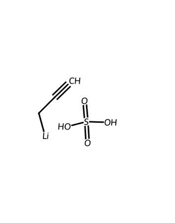 O=S(=O)(O)O.[Li][CH2]C#C